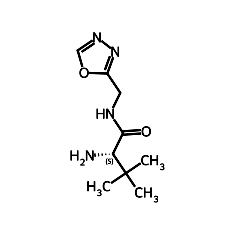 CC(C)(C)[C@H](N)C(=O)NCc1nnco1